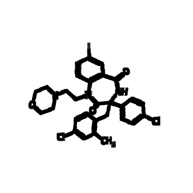 Cc1cc(Cl)ccc1CC1(c2ccc(Cl)cc2)NC(=O)c2cc(I)ccc2N(CCN2CCOCC2)C1=O